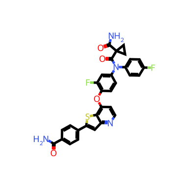 NC(=O)c1ccc(-c2cc3nccc(Oc4ccc(N(C(=O)C5(C(N)=O)CC5)c5ccc(F)cc5)cc4F)c3s2)cc1